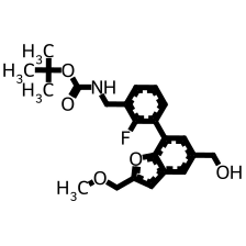 COCc1cc2cc(CO)cc(-c3cccc(CNC(=O)OC(C)(C)C)c3F)c2o1